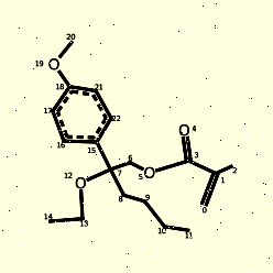 C=C(C)C(=O)OCC(CCCC)(OCC)c1ccc(OC)cc1